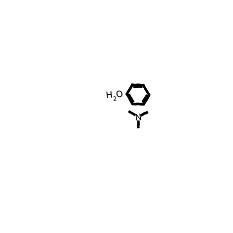 CN(C)C.O.c1ccccc1